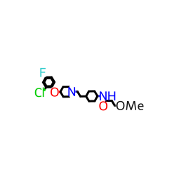 COCCC(=O)NC1CCC(CCN2CCC(Oc3ccc(F)cc3Cl)CC2)CC1